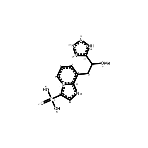 COC(Cc1cccn2c(P(=O)(O)O)cnc12)c1nnn[nH]1